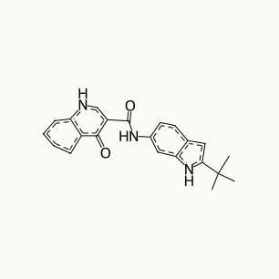 CC(C)(C)c1cc2ccc(NC(=O)c3c[nH]c4ccccc4c3=O)cc2[nH]1